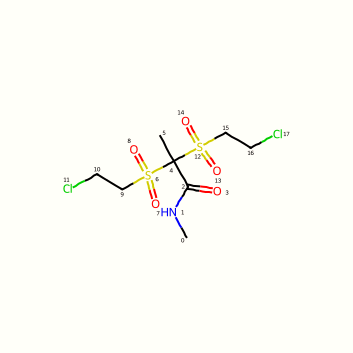 CNC(=O)C(C)(S(=O)(=O)CCCl)S(=O)(=O)CCCl